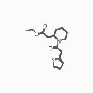 CCOC(=O)CC1CCCCN1C(=O)Cc1cccs1